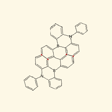 c1ccc(N2c3ccccc3B(c3ccccc3-c3ccccc3B3c4ccccc4N(c4ccccc4)c4ccccc43)c3ccccc32)cc1